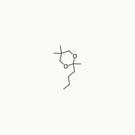 CCCCC1(C)OCC(C)(C)CO1